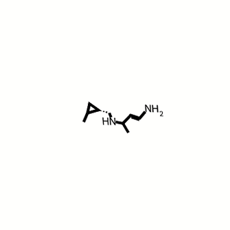 CC(/C=C/N)NC[C@H]1CC1C